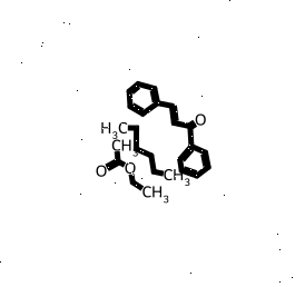 CCCCCC.CCOC(C)=O.O=C(C=Cc1ccccc1)c1ccccc1